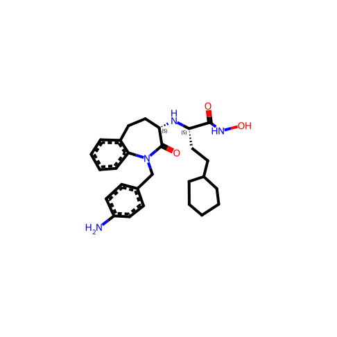 Nc1ccc(CN2C(=O)[C@@H](N[C@@H](CCC3CCCCC3)C(=O)NO)CCc3ccccc32)cc1